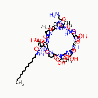 CCCCCCCCCCCCCCNC(=O)NC(CC(=O)O)C(=O)NC1C(=O)N2CCCCC2C(=O)NC(C(C)C(=O)O)C(=O)NC(CC(=O)O)C(=O)NCC(=O)NC(CC(=O)O)C(=O)NC(=O)NC(C(C)NC(=O)CCN)C(=O)NC(C(C)C)C(=O)N2CCCC2C(=O)NC1C